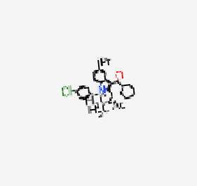 CC(=O)C(C)(C)Cc1c(C(=O)C2CCCCC2)c2cc(C(C)C)ccc2n1Cc1ccc(Cl)cc1